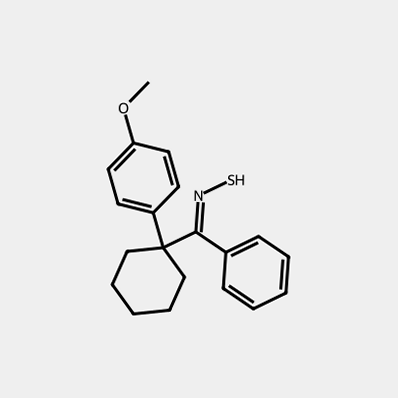 COc1ccc(C2(/C(=N/S)c3ccccc3)CCCCC2)cc1